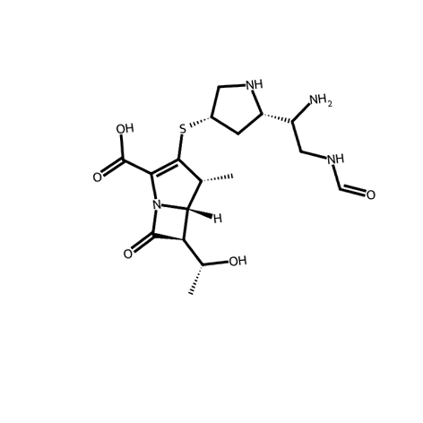 C[C@@H](O)[C@H]1C(=O)N2C(C(=O)O)=C(S[C@@H]3CN[C@H](C(N)CNC=O)C3)[C@H](C)[C@H]12